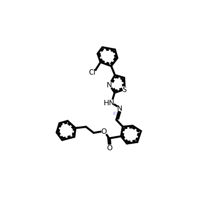 O=C(OCCc1ccccc1)c1ccccc1/C=N/Nc1nc(-c2ccccc2Cl)cs1